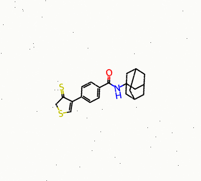 O=C(NC12CC3CC(CC(C3)C1)C2)c1ccc(C2=CSCC2=S)cc1